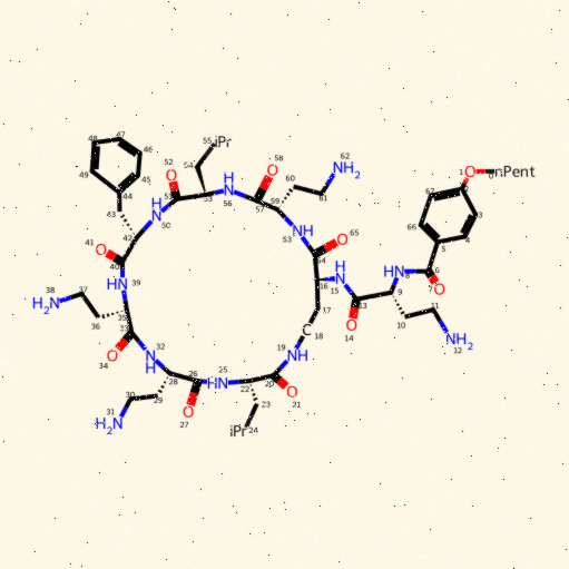 CCCCCOc1ccc(C(=O)N[C@H](CCN)C(=O)N[C@H]2CCNC(=O)[C@H](CC(C)C)NC(=O)[C@H](CCN)NC(=O)[C@H](CCN)NC(=O)[C@H](Cc3ccccc3)NC(=O)[C@@H](CC(C)C)NC(=O)[C@H](CCN)NC2=O)cc1